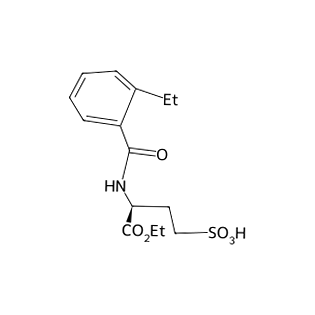 CCOC(=O)[C@H](CCS(=O)(=O)O)NC(=O)c1ccccc1CC